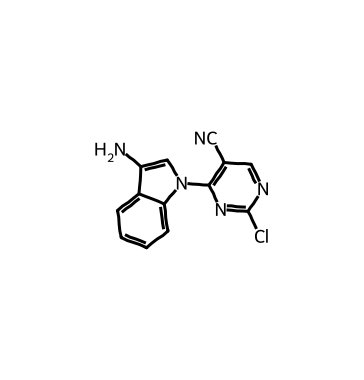 N#Cc1cnc(Cl)nc1-n1cc(N)c2ccccc21